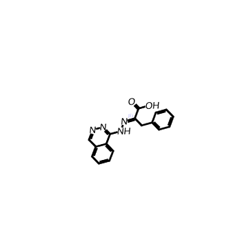 O=C(O)/C(Cc1ccccc1)=N/Nc1nncc2ccccc12